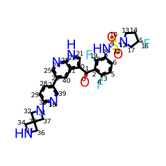 O=C(c1c(F)ccc(NS(=O)(=O)N2CC[C@@H](F)C2)c1F)c1c[nH]c2ncc(-c3ccc(N4CC5(CNC5)C4)nc3)cc12